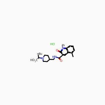 CCCCC(C(=O)O)N1CCC(CNC(=O)c2cc3c(C)cccc3n(C(C)C)c2=O)CC1.Cl